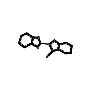 O=c1c2ccccc2sn1-c1nc2ccccc2s1